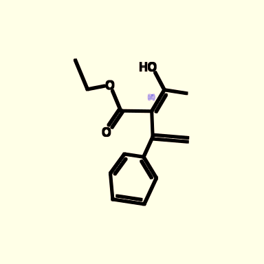 C=C(/C(C(=O)OCC)=C(\C)O)c1ccccc1